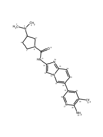 CN(C)C1CCN(C(=O)Nc2cn3cc(-c4cnc(N)c(C(F)(F)F)c4)ccc3n2)C1